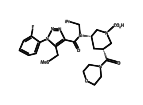 CSCc1c(C(=O)N(CC(C)C)[C@H]2C[C@@H](C(=O)N3CCOCC3)CN(C(=O)O)C2)nnn1-c1ccccc1F